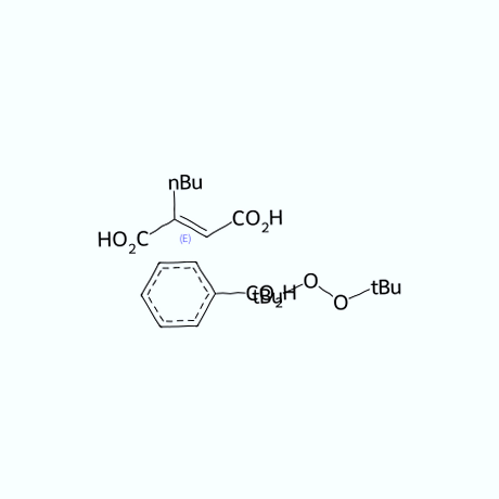 CC(C)(C)OOC(C)(C)C.CCCC/C(=C\C(=O)O)C(=O)O.O=C(O)c1ccccc1